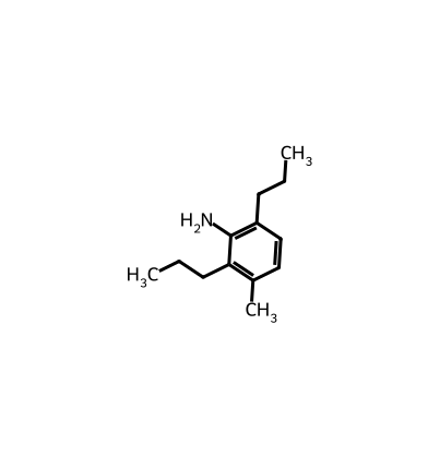 CCCc1ccc(C)c(CCC)c1N